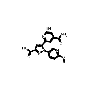 COc1ccc(-n2nc(C(=O)O)cc2-c2cc(C(N)=O)ccn2)cn1.[LiH]